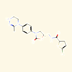 CC1=NNCCN1c1ccc(N2C[C@H](CNC(=O)C3CC=C(Cl)S3)OC2=O)cc1